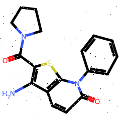 Nc1c(C(=O)N2CCCC2)sc2c1ccc(=O)n2-c1ccccc1